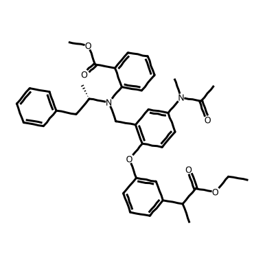 CCOC(=O)C(C)c1cccc(Oc2ccc(N(C)C(C)=O)cc2CN(c2ccccc2C(=O)OC)[C@@H](C)Cc2ccccc2)c1